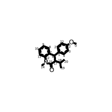 COc1ccc(C2c3ccccc3N(C)C(=O)C2C(C)C)cc1